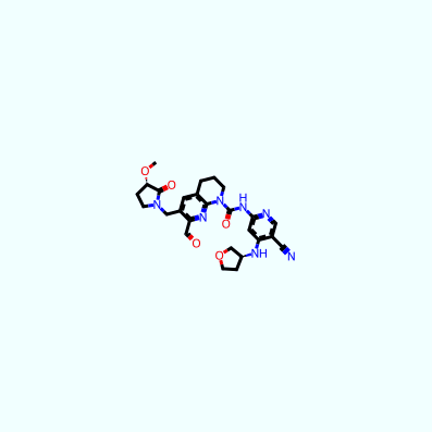 CO[C@H]1CCN(Cc2cc3c(nc2C=O)N(C(=O)Nc2cc(N[C@H]4CCOC4)c(C#N)cn2)CCC3)C1=O